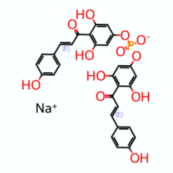 O=C(/C=C/c1ccc(O)cc1)c1c(O)cc(OP(=O)([O-])Oc2cc(O)c(C(=O)/C=C/c3ccc(O)cc3)c(O)c2)cc1O.[Na+]